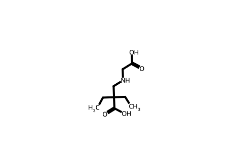 CCC(CC)(CNCC(=O)O)C(=O)O